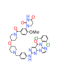 COc1ccc(C(=O)N2CCC(OC3CCN(Cc4ccc(Nc5ncc6c(=O)n(-c7c(Cl)cccc7Cl)c7nccn7c6n5)cc4)CC3)CC2)cc1N1CCC(=O)NC1=O